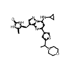 C=c1[nH]c(=O)[nH]/c1=C\c1cnn2c(NC3CC3)cc(-c3csc(C(C)N4CCOCC4)c3)nc12